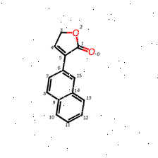 O=C1OCC=C1c1ccc2ccccc2c1